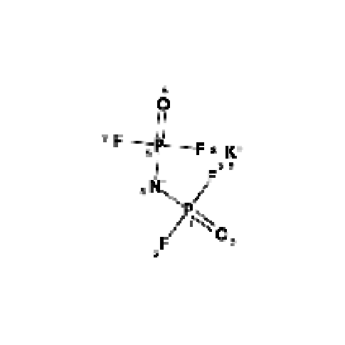 O=P(F)(F)[N-]P(=O)(F)F.[K+]